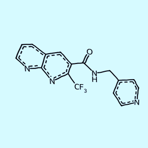 O=C(NCc1ccncc1)c1cc2cccnc2nc1C(F)(F)F